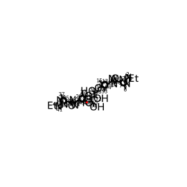 CCN(C)c1nc(C)cc(-c2nc(-c3cc(C)c(OCC(O)C(O)C(Oc4c(C)cc(-c5noc(-c6cc(C)nc(N(C)CC)n6)n5)cc4C)C(O)CO)c(C)c3)no2)n1